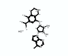 Cc1ncnc2c1ccn2[C@@H]1C[C@H](Oc2cc(C(F)F)c(F)c3c2CNCC3)[C@@H](O)[C@H]1O.Cl